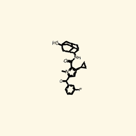 Cn1c(C(=O)c2cccc(F)c2)cc(C2CC2)c1C(=O)NC1C2CC3CC1CC(O)(C3)C2